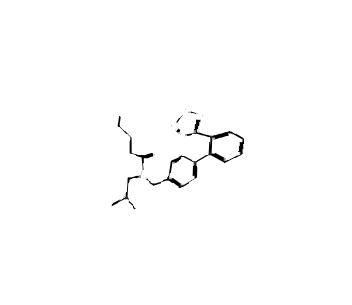 CCCCC(=O)N(Cc1ccc(-c2ccccc2-c2nn[nH]n2)cc1)[C@@H](C)C(C)C